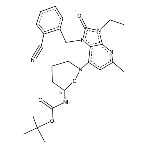 CCn1c(=O)n(Cc2ccccc2C#N)c2c(N3CCC[C@@H](NC(=O)OC(C)(C)C)C3)cc(C)nc21